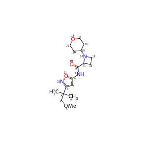 COCC(C)(C)c1cc(NC(=O)C2CCN2C2CCOCC2)on1